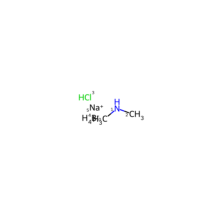 CNC.Cl.[BH4-].[Na+]